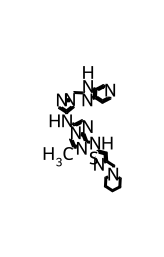 Cc1cn2c(Nc3cnn(Cc4nc5ccncc5[nH]4)c3)cnc2c(Nc2cc(CN3CCCCC3)ns2)n1